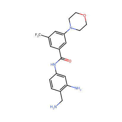 NCc1ccc(NC(=O)c2cc(N3CCOCC3)cc(C(F)(F)F)c2)cc1N